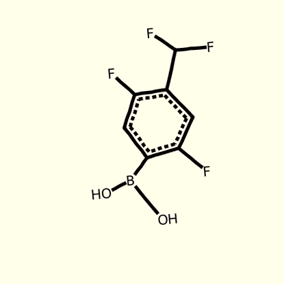 OB(O)c1cc(F)c(C(F)F)cc1F